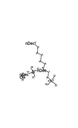 CCCCCCCCCCCCCCCCCC[N+](C)(C)C.CCCCCCCCCC[N+](C)(C)CCCCCCCCCC.[Cl-].[Cl-]